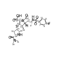 C[C@@H](NS(=O)(=O)c1ccc(F)cc1)[C@H]1C(=O)N2C(C(=O)O)=C(S[C@@H]3CN[C@H](C(=O)N(C)C)C3)[C@H](C)[C@H]12